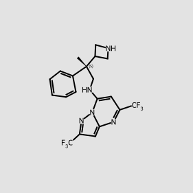 C[C@@](CNc1cc(C(F)(F)F)nc2cc(C(F)(F)F)nn12)(c1ccccc1)C1CNC1